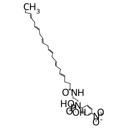 CCC=CCC=CCC=CCC=CCC=CCC=CCCC(=O)NCCN(c1ccc([N+](=O)[O-])cc1)P(=O)(O)O